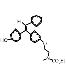 CCOC(=O)N(C)CCOc1ccc(C(=C(CC)c2ccccc2)c2ccc(O)cc2)cc1